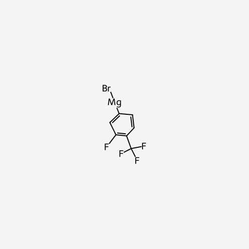 Fc1c[c]([Mg][Br])ccc1C(F)(F)F